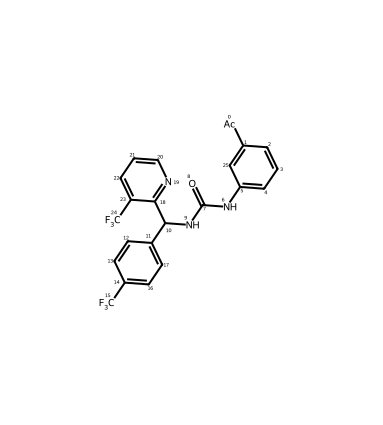 CC(=O)c1cccc(NC(=O)NC(c2ccc(C(F)(F)F)cc2)c2ncccc2C(F)(F)F)c1